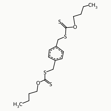 CCCCOC(=S)SCc1ccc(CSC(=S)OCCCC)cc1